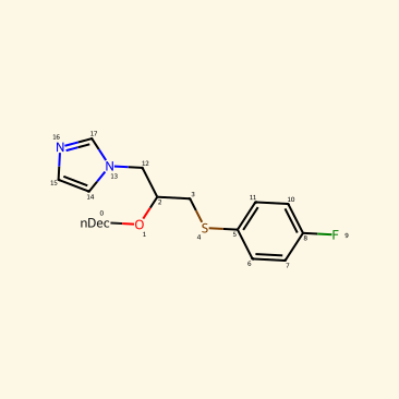 CCCCCCCCCCOC(CSc1ccc(F)cc1)Cn1ccnc1